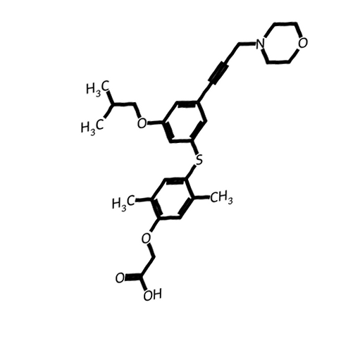 Cc1cc(Sc2cc(C#CCN3CCOCC3)cc(OCC(C)C)c2)c(C)cc1OCC(=O)O